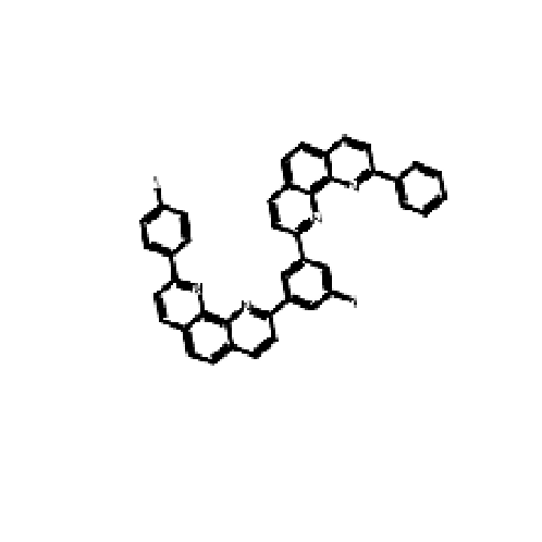 Ic1ccc(-c2ccc3ccc4ccc(-c5cc(I)cc(-c6ccc7ccc8ccc(-c9ccccc9)nc8c7n6)c5)nc4c3n2)cc1